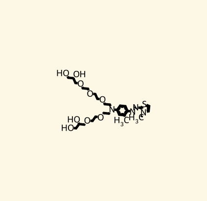 Cc1cc(N(CCOCCOCCOCC(O)CO)CCOCCOCC(O)CO)ccc1/N=N/c1scc[n+]1C